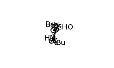 CC(C)(C)OC(=O)NCCCC(=O)Oc1cc(Br)ccc1C=O